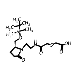 CC(C)(C)[Si](C)(C)OC[C@@H]1CCC(=O)N1CCNC(=O)CSCC(=O)O